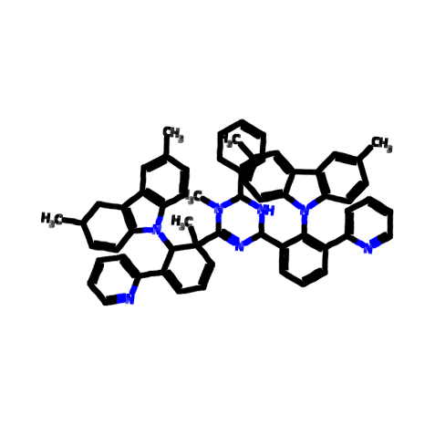 Cc1ccc2c(c1)c1c(n2C2C(c3ccccn3)=CC=CC2(C)C2=NC(c3cccc(-c4ccccn4)c3-n3c4ccc(C)cc4c4cc(C)ccc43)NC(C3=CC=CCC3)N2C)C=CC(C)C1